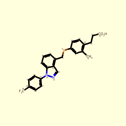 Cc1cc(SCc2cccc3c2cnn3-c2ccc(C(F)(F)F)cc2)ccc1CCC(=O)O